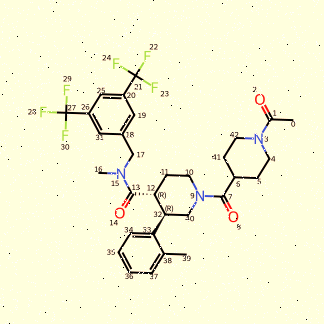 CC(=O)N1CCC(C(=O)N2CC[C@@H](C(=O)N(C)Cc3cc(C(F)(F)F)cc(C(F)(F)F)c3)[C@H](c3ccccc3C)C2)CC1